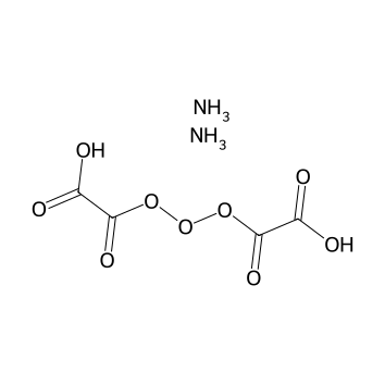 N.N.O=C(O)C(=O)OOOC(=O)C(=O)O